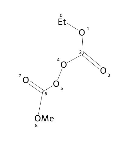 CCOC(=O)OOC(=O)OC